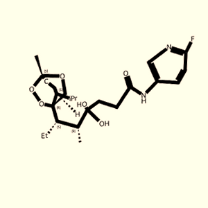 CC[C@@H]([C@@H](C)C(O)(O)CCC(=O)Nc1ccc(F)nc1)[C@@]12CO[C@](C)(CC[C@H]1C(C)C)OO2